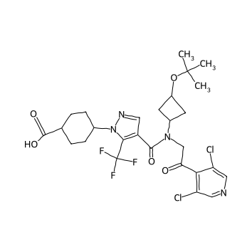 CC(C)(C)OC1CC(N(CC(=O)c2c(Cl)cncc2Cl)C(=O)c2cnn(C3CCC(C(=O)O)CC3)c2C(F)(F)F)C1